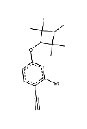 C#Cc1ccc(OC2C(C)(C)C(C)C2(C)C)cc1CC